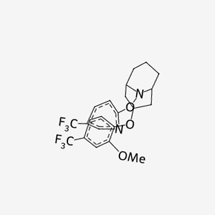 COc1cc(C(F)(F)F)ccc1OC1CC2CCCC(C1)N2Oc1ccc(C(F)(F)F)cn1